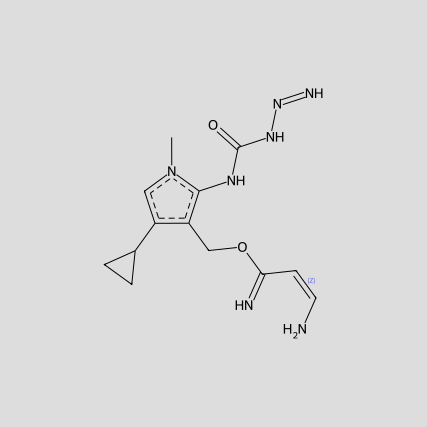 Cn1cc(C2CC2)c(COC(=N)/C=C\N)c1NC(=O)NN=N